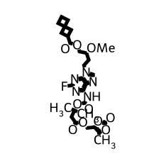 COC(CCn1cnc2c(NC(=O)OC(C)(C)CC(=O)OCc3oc(=O)oc3C)nc(F)nc21)COC(=O)C1CC2(CCC2)C1